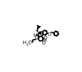 C/C=C/CO[C@@]12CCC(=O)[C@@H]3Oc4c(OCc5ccccc5)ccc5c4[C@@]31CCN(CC1CC1)[C@@H]2C5